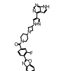 O=C(c1ccc(-c2nc3ccccc3o2)c(F)c1)N1CCC(N2C[C](n3cc(-c4ncnc5[nH]ccc45)cn3)C2)CC1